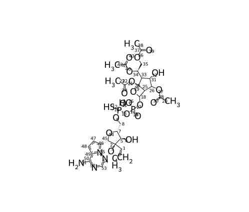 C=C[C@@]1(OC)[C@H](O)[C@@H](COP(=O)(S)OP(=O)(O)OC2OC3(OC(C)=O)C2C(OC(C)=O)C(O)C3[C@H](COC(C)=O)OC(C)=O)O[C@H]1c1ccc2c(N)ncnn12